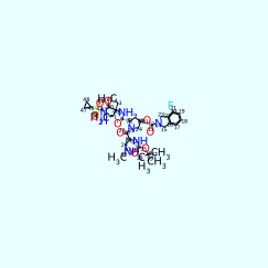 C=C[C@@](CC)(NC(=O)[C@@H]1C[C@@H](OC(=O)N2Cc3cccc(F)c3C2)CN1C(=O)[C@H](CNC)NC(=O)OC(C)(C)C)C(=O)NS(=O)(=O)C1CC1